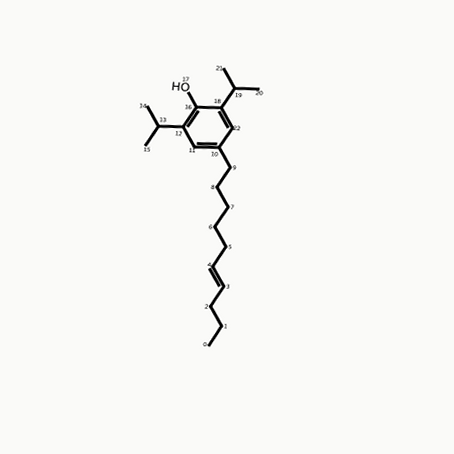 CCCC=CCCCCCc1cc(C(C)C)c(O)c(C(C)C)c1